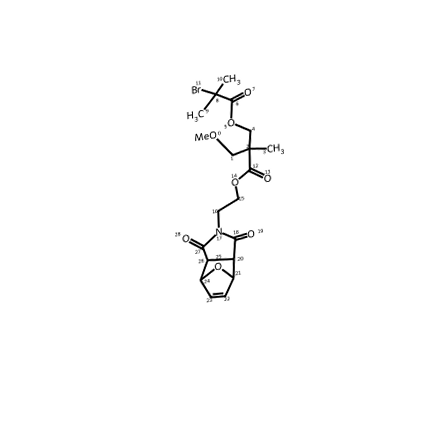 COCC(C)(COC(=O)C(C)(C)Br)C(=O)OCCN1C(=O)C2C3C=CC(O3)C2C1=O